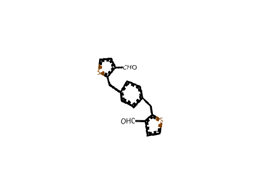 O=Cc1ccsc1Cc1ccc(Cc2sccc2C=O)cc1